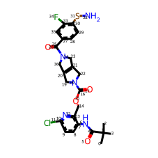 CC(C)(C)C(=O)Nc1ccc(Cl)nc1COC(=O)N1CC2=C(C1)CN(C(=O)c1ccc(SN)c(F)c1)C2